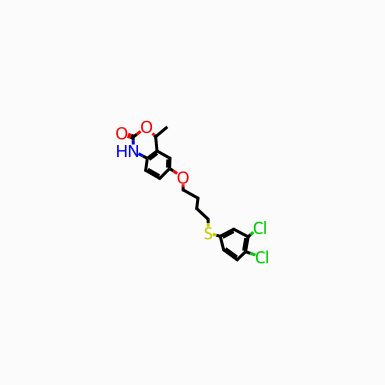 CC1OC(=O)Nc2ccc(OCCCCSc3ccc(Cl)c(Cl)c3)cc21